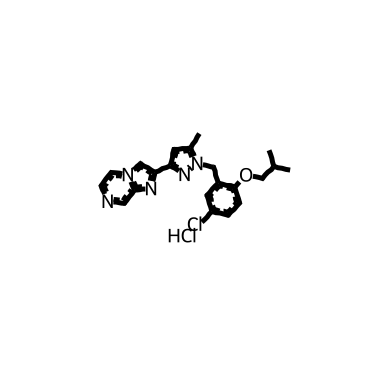 Cc1cc(-c2cn3ccncc3n2)nn1Cc1cc(Cl)ccc1OCC(C)C.Cl